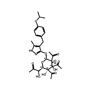 CC(=O)C(O)[C@H]1O[C@@H](Oc2n[nH]c(C)c2Cc2ccc(OC(C)C)cc2)[C@@](O)(C(C)=O)[C@](O)(C(C)=O)[C@@]1(O)C(C)=O